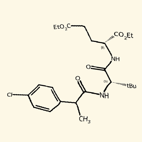 CCOC(=O)CC[C@@H](NC(=O)[C@@H](NC(=O)C(C)c1ccc(Cl)cc1)C(C)(C)C)C(=O)OCC